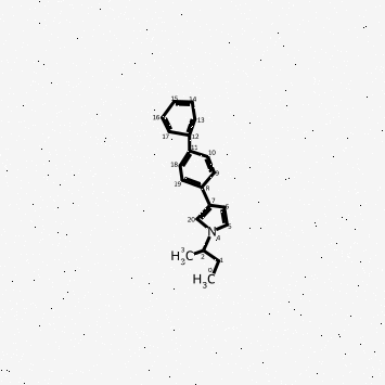 CCC(C)n1ccc(-c2ccc(-c3ccccc3)cc2)c1